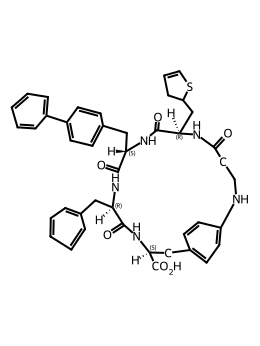 O=C1CCNc2ccc(cc2)C[C@@H](C(=O)O)NC(=O)[C@@H](Cc2ccccc2)NC(=O)[C@H](Cc2ccc(-c3ccccc3)cc2)NC(=O)[C@@H](CC2CC=CS2)N1